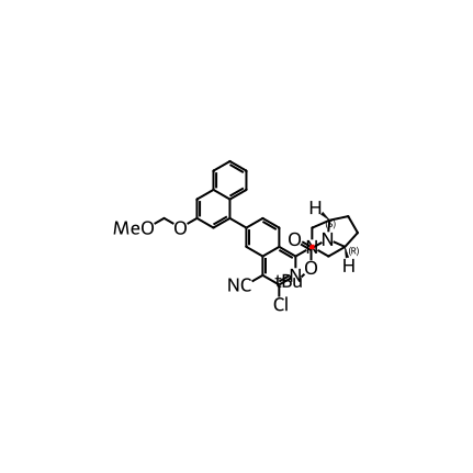 COCOc1cc(-c2ccc3c(N4C[C@H]5CC[C@@H](C4)N5C(=O)OC(C)(C)C)nc(Cl)c(C#N)c3c2)c2ccccc2c1